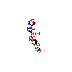 OCC(CF)Oc1ccc2nc(CC(O)c3cnc(N4CCCOCC4)s3)oc2c1